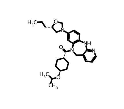 CCC[C@H]1CN(c2ccc3c(c2)N(C(=O)[C@H]2CC[C@H](OC(C)C)CC2)Cc2cccnc2N3)CO1